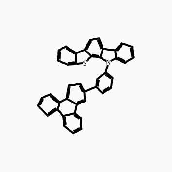 c1cc(-c2ccc3c4ccccc4c4ccccc4c3c2)cc(-n2c3ccccc3c3ccc4c5ccccc5sc4c32)c1